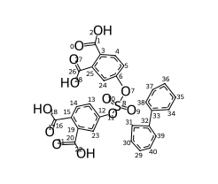 O=C(O)c1ccc(OS(=O)(=O)Oc2ccc(C(=O)O)c(C(=O)O)c2)cc1C(=O)O.c1ccc(-c2ccccc2)cc1